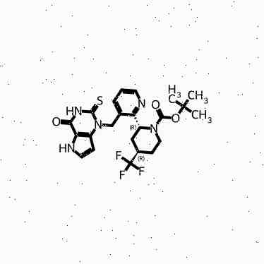 CC(C)(C)OC(=O)N1CC[C@@H](C(F)(F)F)C[C@@H]1c1ncccc1Cn1c(=S)[nH]c(=O)c2[nH]ccc21